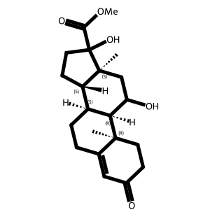 COC(=O)C1(O)CC[C@H]2[C@@H]3CCC4=CC(=O)CC[C@]4(C)[C@@H]3C(O)C[C@@]21C